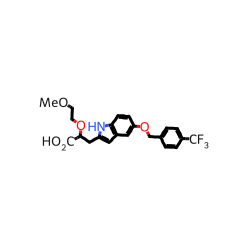 COCCOC(Cc1cc2cc(OCc3ccc(C(F)(F)F)cc3)ccc2[nH]1)C(=O)O